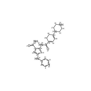 NC(=O)c1nc(Nc2ccncc2)sc1NC(=O)C1=CC=C(N2CCNCC2)CC1